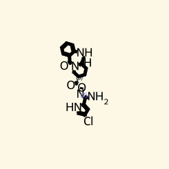 N/C(=N\OC(=O)[C@H]1CC[C@H]2CNc3ccccc3C(=O)N2C1)c1cc(Cl)c[nH]1